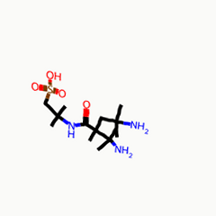 CC(C)(N)CC(C)(C(=O)NC(C)(C)CS(=O)(=O)O)C(C)(C)N